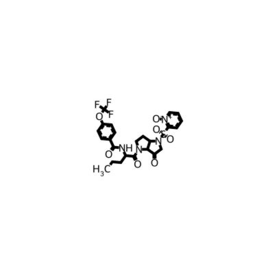 CCCC(NC(=O)c1ccc(OC(F)(F)F)cc1)C(=O)N1CCC2C1C(=O)CN2S(=O)(=O)c1cccc[n+]1[O-]